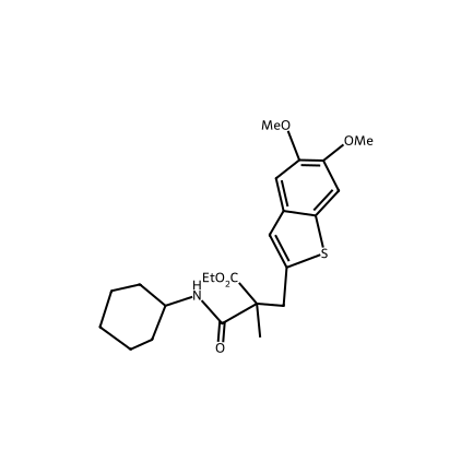 CCOC(=O)C(C)(Cc1cc2cc(OC)c(OC)cc2s1)C(=O)NC1CCCCC1